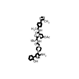 CC(=O)O[C@@H]1C[C@@H](C(=O)N[C@@H](C)c2ccc(-c3scnc3C)cc2)N(C(=O)[C@@H](NC(=O)CN2CCN(c3cc(-c4ccccc4O)nnc3N)CC2)C(C)(C)C)C1